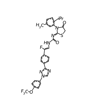 Cc1ccc(C(C)C)c(N2C(=O)CS/C2=N\C(=O)N/C=C(\F)c2ccc(-c3ncn(-c4ccc(OC(F)(F)F)cc4)n3)cc2)c1